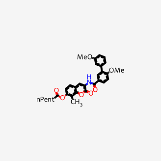 CCCCCC(=O)Oc1ccc2cc(NC(=O)c3ccc(OC)c(-c4cccc(OC)c4)c3)c(=O)oc2c1C